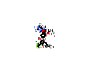 CCCc1cc(C(OCOC)(C(F)(F)F)C(F)(F)F)ccc1Oc1cc(OCC)c(C(=O)CN2C(=O)NC(=O)C2(C)c2ccc(OC(C)C)cn2)cc1Br